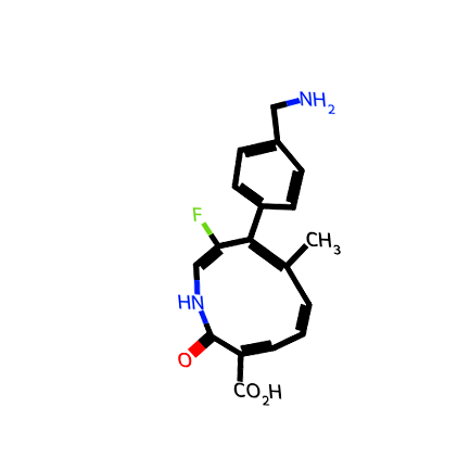 Cc1cccc(C(=O)O)c(=O)[nH]cc(F)c1-c1ccc(CN)cc1